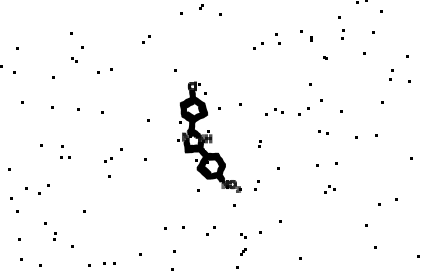 O=[N+]([O-])C1C=CC(c2cnc(-c3ccc(Cl)cc3)[nH]2)=CC1